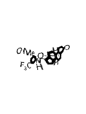 COc1cc(NC(=O)[C@H]2CC[C@H]3[C@@H]4CCC5=CC(=O)CC[C@]5(C)[C@H]4CC[C@]23C)cc(C(F)(F)F)c1